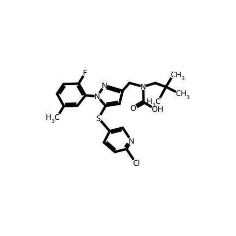 Cc1ccc(F)c(-n2nc(CN(CC(C)(C)C)C(=O)O)cc2Sc2ccc(Cl)nc2)c1